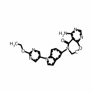 CCOc1ncc(-n2ccc3cc(N4CCOc5ncnc(N)c5C4=O)ccc32)cn1